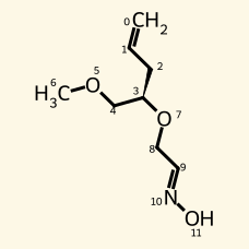 C=CC[C@H](COC)OC/C=N/O